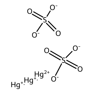 O=S(=O)([O-])[O-].O=S(=O)([O-])[O-].[Hg+2].[Hg+].[Hg+]